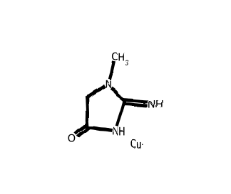 CN1CC(=O)NC1=N.[Cu]